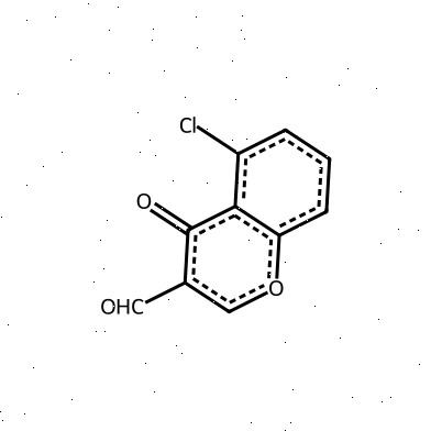 O=Cc1coc2cccc(Cl)c2c1=O